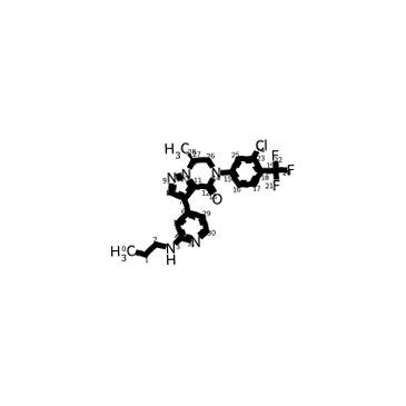 CCCNc1cc(-c2cnn3c2C(=O)N(c2ccc(C(F)(F)F)c(Cl)c2)C[C@@H]3C)ccn1